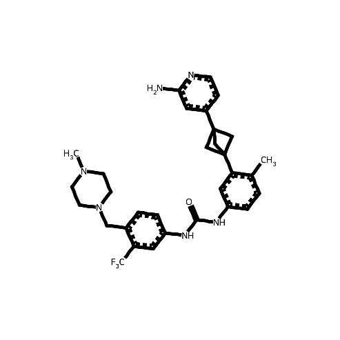 Cc1ccc(NC(=O)Nc2ccc(CN3CCN(C)CC3)c(C(F)(F)F)c2)cc1C12CC(c3ccnc(N)c3)(C1)C2